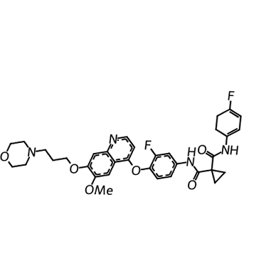 COc1cc2c(Oc3ccc(NC(=O)C4(C(=O)NC5=CC=C(F)CC5)CC4)cc3F)ccnc2cc1OCCCN1CCOCC1